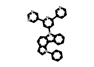 c1ccc(-n2ccc3ccc4c(c5ccccc5n4-c4cc(-c5cccnc5)nc(-c5cncnc5)c4)c32)cc1